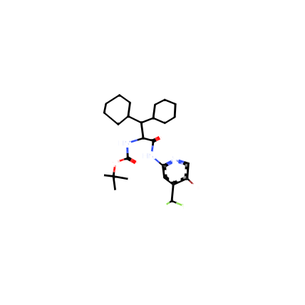 CC(C)(C)OC(=O)NC(C(=O)Nc1cc(C(F)F)c(Br)cn1)C(C1CCCCC1)C1CCCCC1